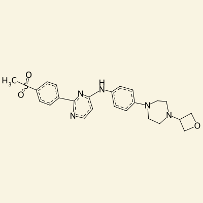 CS(=O)(=O)c1ccc(-c2nccc(Nc3ccc(N4CCN(C5COC5)CC4)cc3)n2)cc1